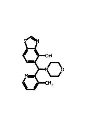 Cc1cccnc1C(c1ccc2scnc2c1O)N1CCOCC1